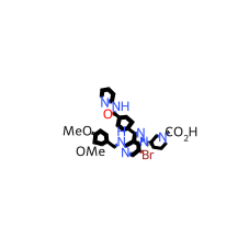 COc1ccc(CNc2ncc(Br)c3c2c(-c2ccc(C(=O)Nc4ccccn4)cc2)nn3[C@@H]2CCCN(C(=O)O)C2)c(OC)c1